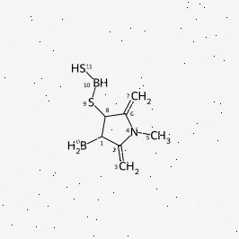 BC1C(=C)N(C)C(=C)C1SBS